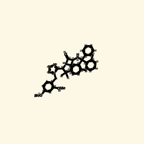 COc1ccc(Cn2nnnc2C2N3C(=O)C(NC(c4ccccc4)(c4ccccc4C)c4ccccc4C)C3SC2(C)C)c(OC)c1